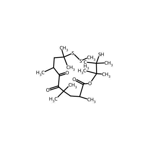 CSSC(C)(C)CC(C)C(=O)C(=O)C(C)(C)CC(C)C(=O)OC(C)(C)C(C)(C)S